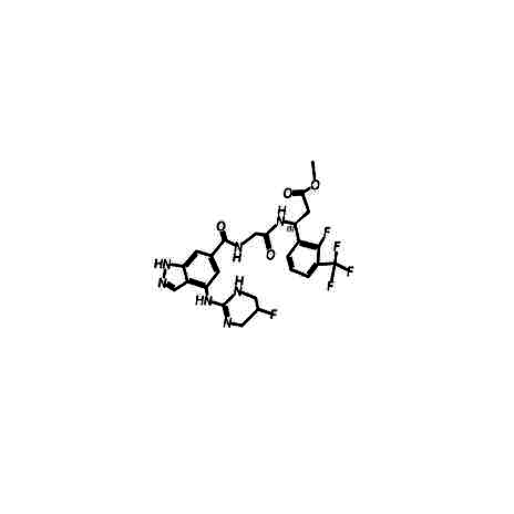 COC(=O)C[C@H](NC(=O)CNC(=O)c1cc(NC2=NCC(F)CN2)c2cn[nH]c2c1)c1cccc(C(F)(F)F)c1F